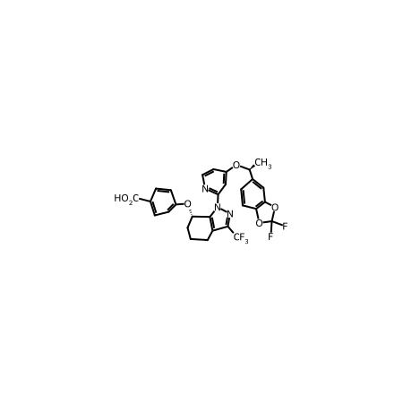 C[C@H](Oc1ccnc(-n2nc(C(F)(F)F)c3c2[C@@H](Oc2ccc(C(=O)O)cc2)CCC3)c1)c1ccc2c(c1)OC(F)(F)O2